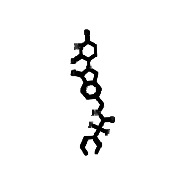 C/C=C\C(=C/C)C(F)(F)C(=O)NCc1ccc2c(c1)CN(C1CCC(=O)NC1=O)C2=O